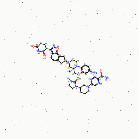 CN1CCN([C@@H]2CCCN(c3cnc(C(N)=O)c(Nc4ccc5c(c4)OC[C@H]4CN(C6Cc7ccc8c(C9CCC(=O)NC9=O)noc8c7C6)CCN54)n3)C2)C1=O